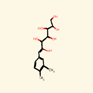 Cc1ccc(C=C(O)C(O)C(O)C(O)C(O)CO)cc1C